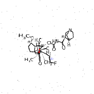 CO[C@@H]1CCC23CC[C@@H](C)[C@](C)(C12)[C@H](OC(=O)NC(=O)[C@H]1CN2CC[C@@H]1C2)C[C@@](C)(/C=C/F)C(=O)[C@@H]3C